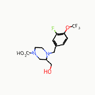 O=C(O)N1CCN(Cc2ccc(OC(F)(F)F)c(F)c2)C(CO)C1